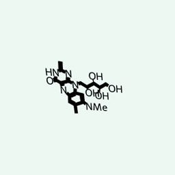 C=c1nc2c(c(=O)[nH]1)=Nc1cc(C)c(NC)cc1N2C[C@H](O)[C@H](O)[C@H](O)CO